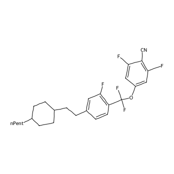 CCCCCC1CCC(CCc2ccc(C(F)(F)Oc3cc(F)c(C#N)c(F)c3)c(F)c2)CC1